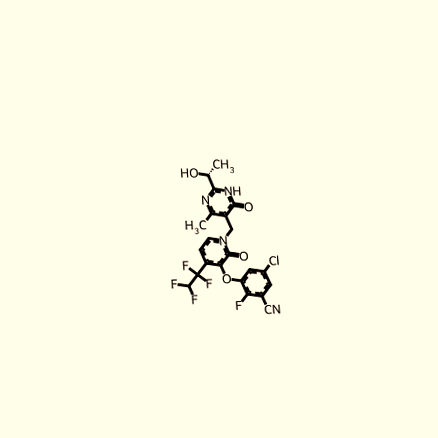 Cc1nc([C@@H](C)O)[nH]c(=O)c1Cn1ccc(C(F)(F)C(F)F)c(Oc2cc(Cl)cc(C#N)c2F)c1=O